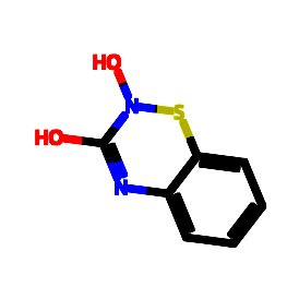 OC1=Nc2ccccc2SN1O